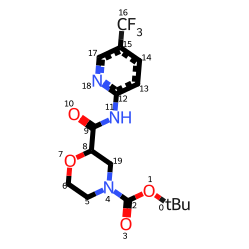 CC(C)(C)OC(=O)N1CCOC(C(=O)Nc2ccc(C(F)(F)F)cn2)C1